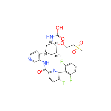 C[C@@H]1C[C@H](c2ccncc2NC(=O)c2ccc(F)c(-c3c(F)cccc3F)n2)C[C@H](NC(=O)O)[C@@H]1OCCS(C)(=O)=O